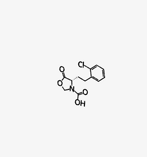 O=C1OCN(C(=O)O)[C@H]1CCc1ccccc1Cl